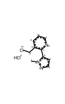 Cl.Cn1nccc1-c1ncccc1CCl